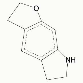 c1c2c(cc3c1CCO3)NCC2